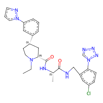 CCN1CC[C@H](c2cccc(-n3cccn3)c2)C[C@@H]1C(=O)N[C@@H](C)C(=O)NCc1cc(Cl)ccc1-n1cnnn1